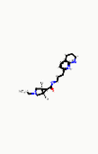 O=C(O)CN1C[C@H]2C(C(=O)NCCCc3ccc4c(n3)NCCC4)[C@@H]2C1